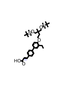 CCc1cc(-c2ccc(/C=C/C(=O)O)cc2)ccc1OCCC(C)(CO[Si](C)(C)C(C)(C)C)CO[Si](C)(C)C(C)(C)C